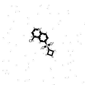 O=S(=O)(c1ccc2nccc(Cl)c2c1)C1CCC1